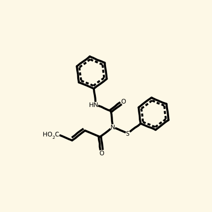 O=C(O)C=CC(=O)N(Sc1ccccc1)C(=O)Nc1ccccc1